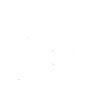 COc1ccc(Cn2c(NC3CCN(Cc4ccccc4)CC3)nc3c2c(=O)n(C)c(=O)n3C)cc1